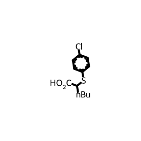 CCCCC(Sc1ccc(Cl)cc1)C(=O)O